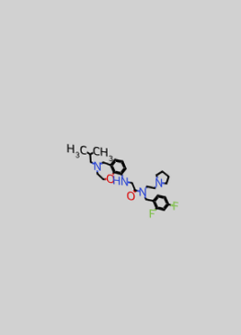 CC(C)CN1CCOc2c(cccc2NCC(=O)N(CCN2CCCC2)Cc2ccc(F)cc2F)C1